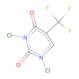 O=c1c(C(F)(F)F)cn(Cl)c(=O)n1Cl